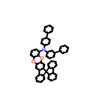 c1ccc(-c2ccc(N(c3cccc(-c4ccccc4)c3)c3cccc4c3Oc3cc5c(cc3O4)-c3ccccc3C53c4ccccc4-c4ccccc43)cc2)cc1